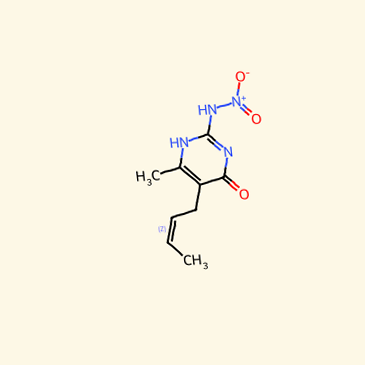 C/C=C\Cc1c(C)[nH]c(N[N+](=O)[O-])nc1=O